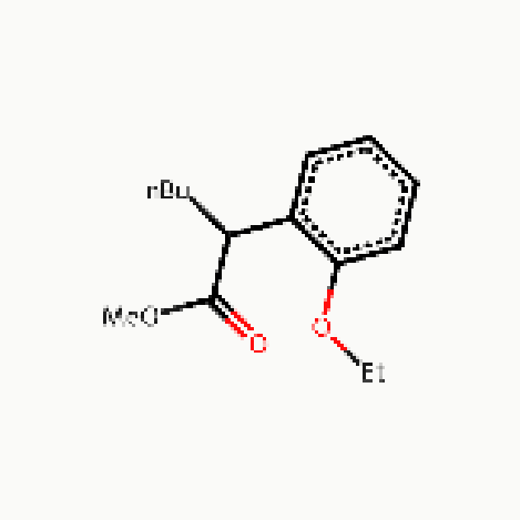 CCCCC(C(=O)OC)c1ccccc1OCC